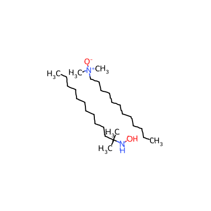 CCCCCCCCCCCC(C)(C)NO.CCCCCCCCCCCC[N+](C)(C)[O-]